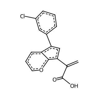 C=C(C(=O)O)c1cc(-c2cccc(Cl)c2)c2cccoc1-2